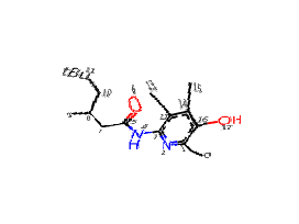 Cc1nc(NC(=O)CC(C)CC(C)(C)C)c(C)c(C)c1O